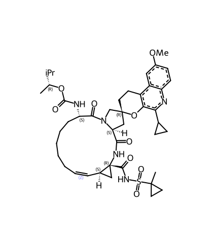 COc1ccc2nc(C3CC3)c3c(c2c1)CC[C@]1(C[C@H]2C(=O)N[C@]4(C(=O)NS(=O)(=O)C5(C)CC5)C[C@H]4/C=C\CCCCC[C@H](NC(=O)O[C@H](C)C(C)C)C(=O)N2C1)O3